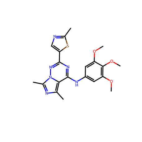 COc1cc(Nc2nc(-c3cnc(C)s3)nn3c(C)nc(C)c23)cc(OC)c1OC